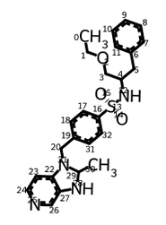 CCOCC(Cc1ccccc1)NS(=O)(=O)c1ccc(CN2c3ccncc3NC2C)cc1